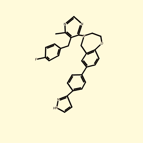 Cc1ncnc(N2CCOc3ccc(-c4ccc(-c5cc[nH]n5)cc4)cc3C2)c1Cc1ccc(F)cc1